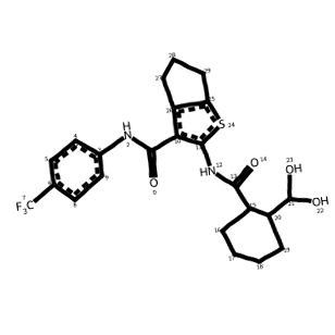 O=C(Nc1ccc(C(F)(F)F)cc1)c1c(NC(=O)C2CCCCC2C(O)O)sc2c1CCC2